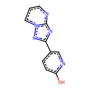 Oc1ccc(-c2nc3ncccn3n2)cn1